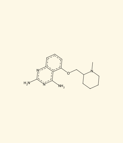 CN1CCCCC1COc1cccc2nc(N)nc(N)c12